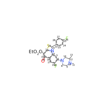 CCOC(=O)c1c2n(c3cc(N4CCN(C)C(C)C4)c(F)cc3c1=O)C(c1ccc(F)cc1)S2